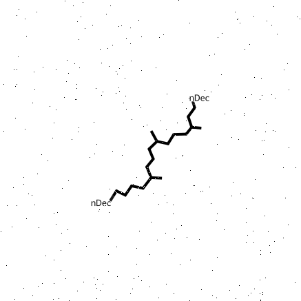 CCCCCCCCCCCCCCC(C)CCCC(C)CCCC(C)CCCCCCCCCCCC